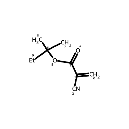 C=C(C#N)C(=O)OC(C)(C)CC